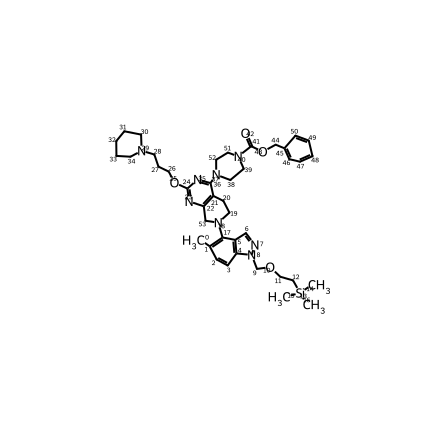 Cc1ccc2c(cnn2COCC[Si](C)(C)C)c1N1CCc2c(nc(OCCCN3CCCCC3)nc2N2CCN(C(=O)OCc3ccccc3)CC2)C1